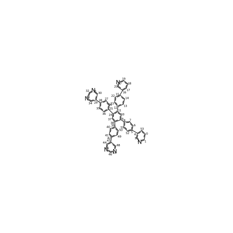 c1cncc(-c2ccc(-c3cc(-c4ccc(-c5cccnc5)cc4)c(-c4ccc(-c5cncnc5)cc4)cc3-c3ccc(-c4cncnc4)cc3)cc2)c1